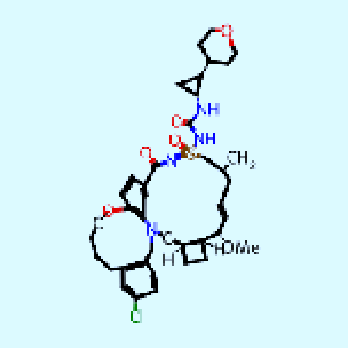 CO[C@H]1/C=C/C[C@H](C)CS(=O)(NC(=O)N[C@@H]2C[C@H]2C2CCOCC2)=NC(=O)c2ccc3c(c2)N(Cc2ccc(Cl)cc2CCCCO3)C[C@@H]2CC[C@H]21